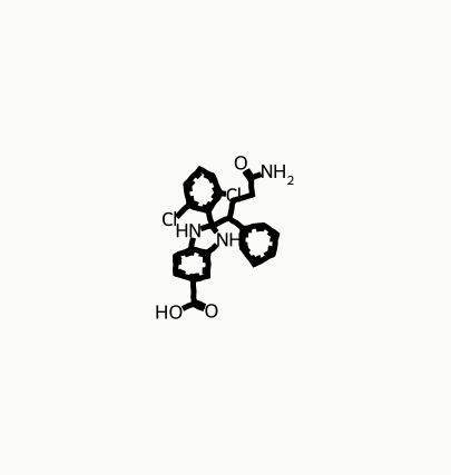 NC(=O)CCC(c1ccccc1)C1(c2c(Cl)cccc2Cl)Nc2ccc(C(=O)O)cc2N1